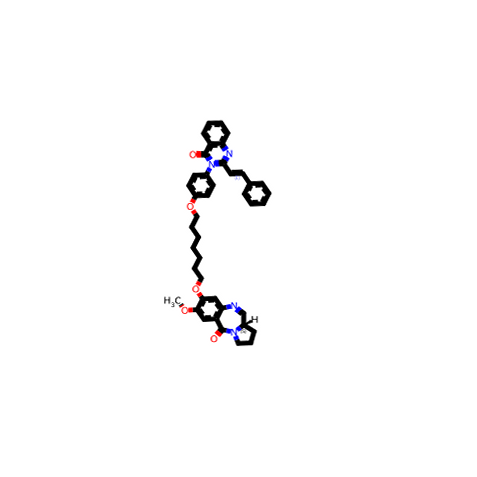 COc1cc2c(cc1OCCCCCCCOc1ccc(-n3c(/C=C/c4ccccc4)nc4ccccc4c3=O)cc1)N=C[C@@H]1CCCN1C2=O